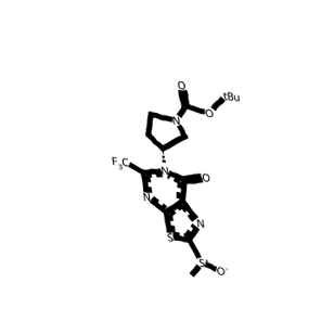 C[S+]([O-])c1nc2c(=O)n([C@@H]3CCN(C(=O)OC(C)(C)C)C3)c(C(F)(F)F)nc2s1